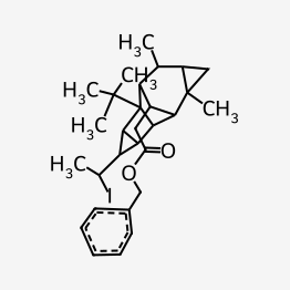 CC(I)C1C2C1C1(C(C)(C)C)C3C(C)C4CC4(C)C(C3CC(=O)OCc3ccccc3)C21